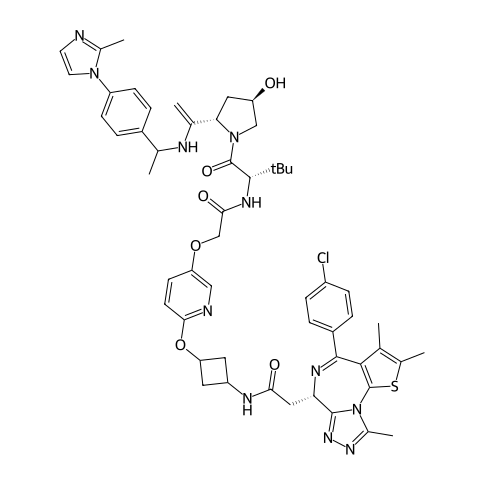 C=C(NC(C)c1ccc(-n2ccnc2C)cc1)[C@@H]1C[C@@H](O)CN1C(=O)[C@@H](NC(=O)COc1ccc(OC2CC(NC(=O)C[C@@H]3N=C(c4ccc(Cl)cc4)c4c(sc(C)c4C)-n4c(C)nnc43)C2)nc1)C(C)(C)C